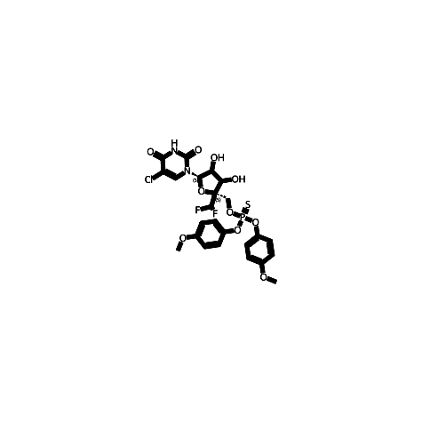 COc1ccc(OP(=S)(OC[C@]2(C(F)F)O[C@H](n3cc(Cl)c(=O)[nH]c3=O)C(O)C2O)Oc2ccc(OC)cc2)cc1